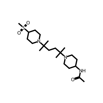 CC(=O)NC1CCN(C(C)(C)CCC(C)(C)N2CCC(S(C)(=O)=O)CC2)CC1